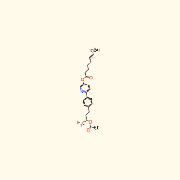 CCCC/C=C/CCCCC(=O)Oc1ccc(-c2ccc(CCC(C)OC(=O)CC)cc2)nc1